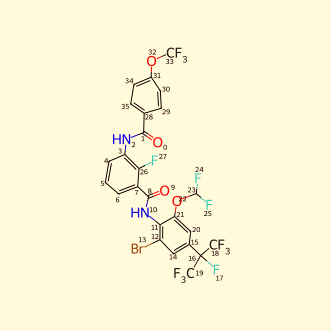 O=C(Nc1cccc(C(=O)Nc2c(Br)cc(C(F)(C(F)(F)F)C(F)(F)F)cc2OC(F)F)c1F)c1ccc(OC(F)(F)F)cc1